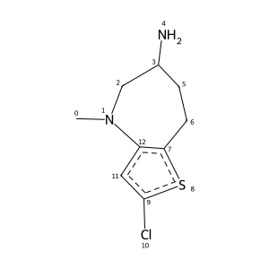 CN1CC(N)CCc2sc(Cl)cc21